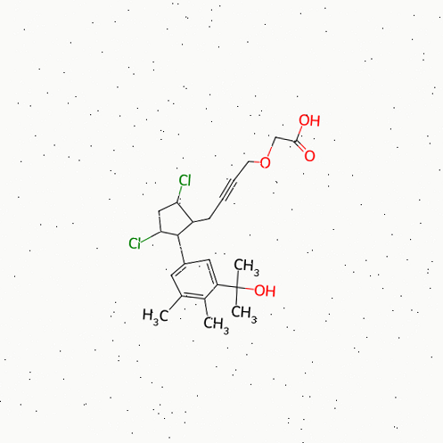 Cc1cc(C2C(Cl)CC(Cl)C2CC#CCOCC(=O)O)cc(C(C)(C)O)c1C